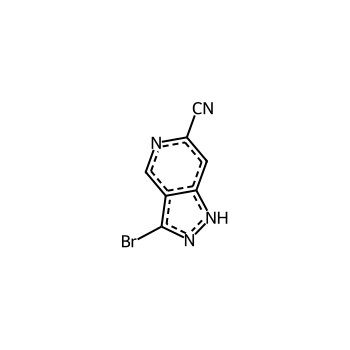 N#Cc1cc2[nH]nc(Br)c2cn1